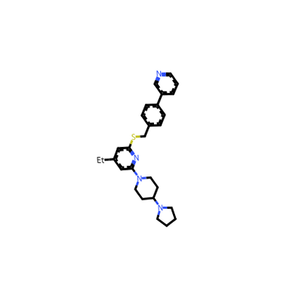 CCc1cc(SCc2ccc(-c3cccnc3)cc2)nc(N2CCC(N3CCCC3)CC2)c1